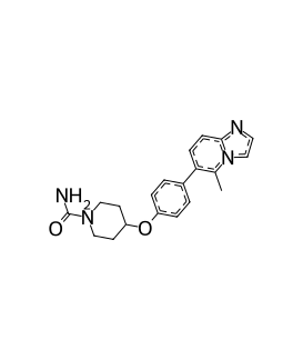 Cc1c(-c2ccc(OC3CCN(C(N)=O)CC3)cc2)ccc2nccn12